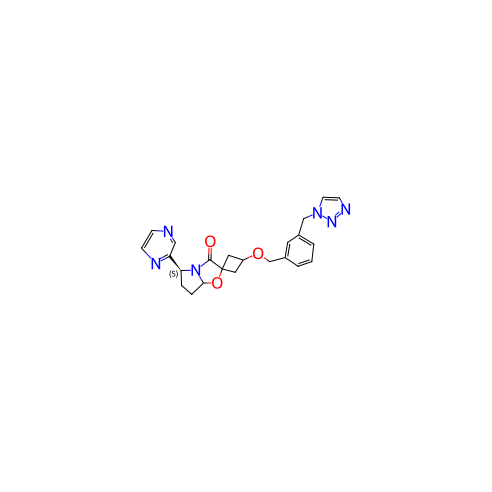 O=C1N2C(CC[C@H]2c2cnccn2)OC12CC(OCc1cccc(Cn3ccnn3)c1)C2